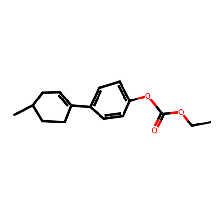 CCOC(=O)Oc1ccc(C2=CCC(C)CC2)cc1